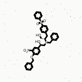 O=[N+]([O-])c1cc([C@@H](O)CN(Cc2ccccc2)[C@H](CO)Cc2ccc(S(=O)(=O)c3ccccc3)cc2)ccc1OCc1ccccc1